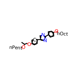 CCCCCCCCOc1ccc(-c2ncc(-c3ccc(OCC(C)OCCCCC)cc3)cn2)cc1